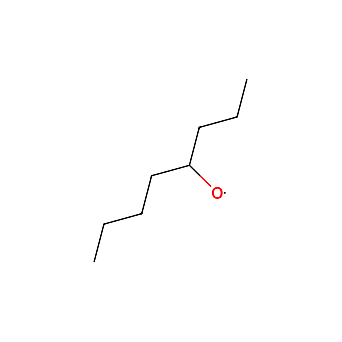 CCCCC([O])CCC